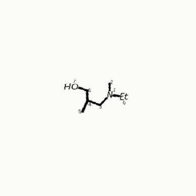 CCN(C)CC(C)CO